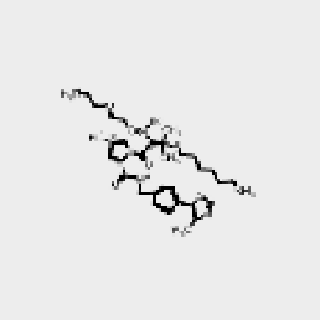 CC(=O)N(OCCOCCN)[C@H](C(=O)N1C[C@H](O)C[C@H]1C(=O)NCc1ccc(-c2scnc2C)cc1)C(C)(C)SCCCCCCN